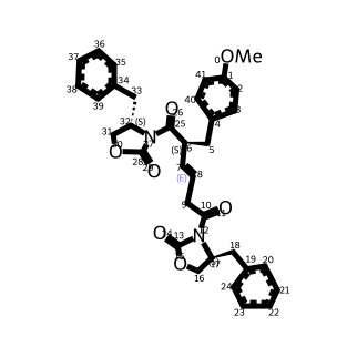 COc1ccc(C[C@@H](/C=C/CC(=O)N2C(=O)OC[C@@H]2Cc2ccccc2)C(=O)N2C(=O)OC[C@@H]2Cc2ccccc2)cc1